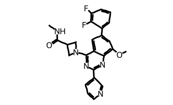 CNC(=O)C1CN(c2nc(-c3cccnc3)nc3c(OC)cc(-c4cccc(F)c4F)cc23)C1